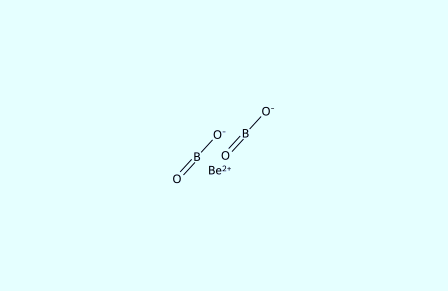 O=B[O-].O=B[O-].[Be+2]